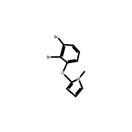 Cn1[c]ccc1Oc1cccc(Br)c1Br